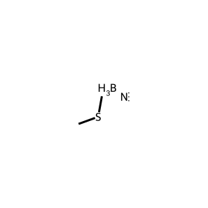 B.CSC.[N]